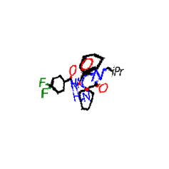 CC(C)CN1C(=O)NC2(CC3CCC(C2)N3C[C@H](NC(=O)C2CCC(F)(F)CC2)c2ccccc2)C1=O